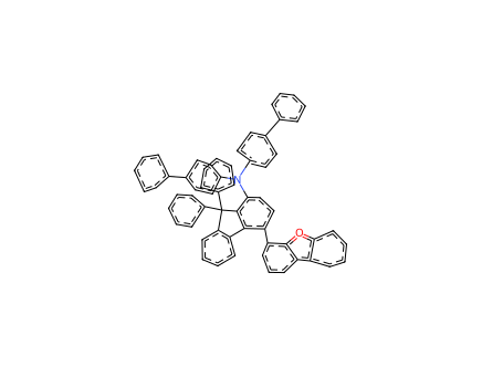 c1ccc(-c2ccc(N(c3ccc(-c4ccccc4)cc3)c3ccc(-c4cccc5c4oc4ccccc45)c4c3C(c3ccccc3)(c3ccccc3)c3ccccc3-4)cc2)cc1